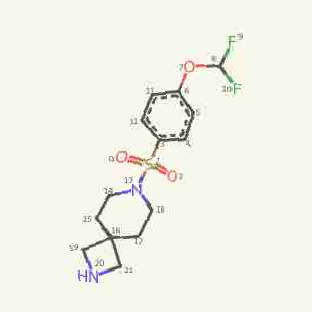 O=S(=O)(c1ccc(OC(F)F)cc1)N1CCC2(CC1)CNC2